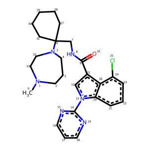 CN1CCCN(C2(CNC(=O)c3cn(-c4ncccn4)c4cccc(Cl)c34)CCCCC2)CC1